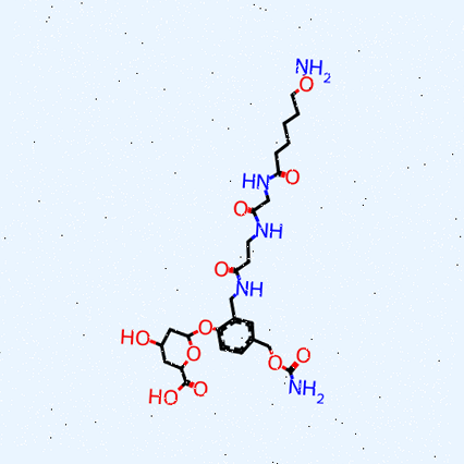 NOCCCCCC(=O)NCC(=O)NCCC(=O)NCc1cc(COC(N)=O)ccc1OC1CC(O)CC(C(=O)O)O1